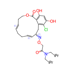 CC(C)CN(CC(C)C)C(=O)CO/N=C1\C=C\CC/C=C/CCOC(=O)c2c(O)cc(O)c(Cl)c2C1